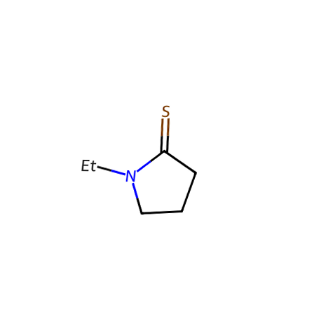 CCN1CCCC1=S